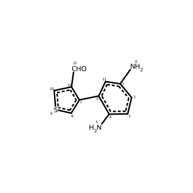 Nc1ccc(N)c(-c2cscc2C=O)c1